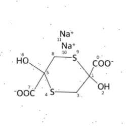 O=C([O-])C1(O)CSC(O)(C(=O)[O-])CS1.[Na+].[Na+]